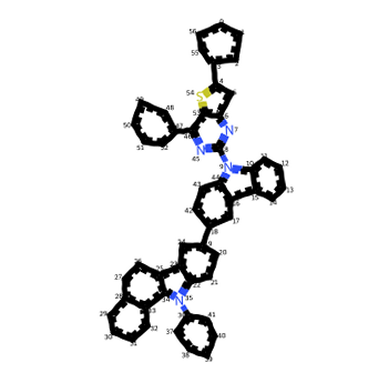 c1ccc(-c2cc3nc(-n4c5ccccc5c5cc(-c6ccc7c(c6)c6ccc8ccccc8c6n7-c6ccccc6)ccc54)nc(-c4ccccc4)c3s2)cc1